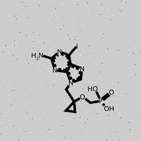 Nc1nc(I)c2ncn(CC3(OCP(=O)(O)O)CC3)c2n1